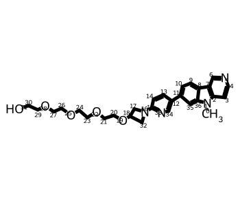 Cn1c2ccncc2c2ccc(-c3ccc(N4CC(OCCOCCOCCOCCO)C4)nc3)cc21